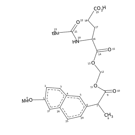 COc1ccc2cc(C(C)C(=O)OCOC(=O)C(CCC(=O)O)NC(=O)C(C)(C)C)ccc2c1